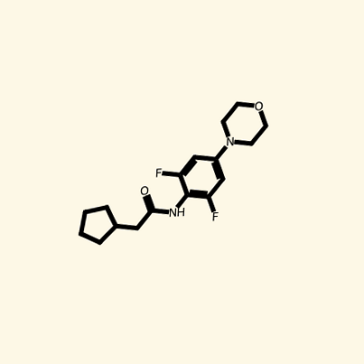 O=C(CC1CCCC1)Nc1c(F)cc(N2CCOCC2)cc1F